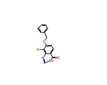 O=c1[nH]cnc2c(Br)c(OCc3ccccc3)ccc12